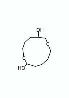 OC1CCCCCCC(O)CCCC1